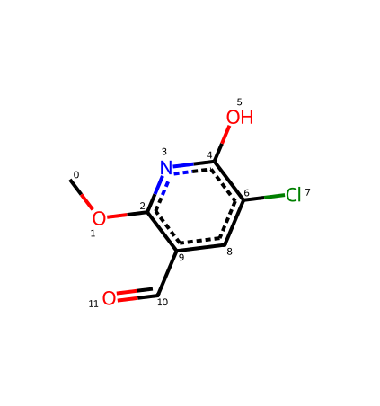 COc1nc(O)c(Cl)cc1C=O